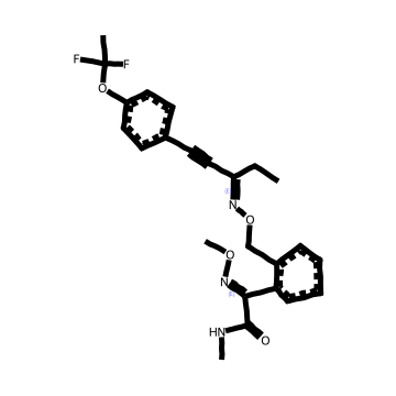 CC/C(C#Cc1ccc(OC(C)(F)F)cc1)=N\OCc1ccccc1/C(=N\OC)C(=O)NC